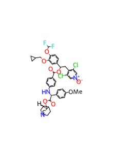 COc1ccc(C(Nc2ccc(C(=O)OC(Cc3c(Cl)c[n+]([O-])cc3Cl)c3ccc(OC(F)F)c(OCC4CC4)c3)cc2)C(=O)O[C@H]2CN3CCC2CC3)cc1